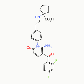 Nc1c(C(=O)c2ccc(F)cc2F)ccc(=O)n1-c1ccc(CCNC2(C(=O)O)CCCC2)cc1